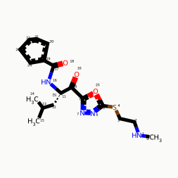 CNCCSc1nnc(C(=O)[C@H](CC(C)C)NC(=O)c2ccccc2)o1